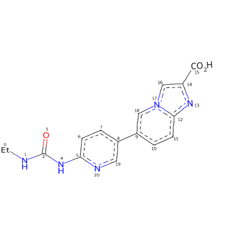 CCNC(=O)Nc1ccc(-c2ccc3nc(C(=O)O)cn3c2)cn1